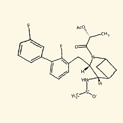 CC(=O)O[C@H](C)C(=O)N1C2CC(C2)[C@H](N[S+](C)[O-])[C@@H]1Cc1cccc(-c2cccc(F)c2)c1F